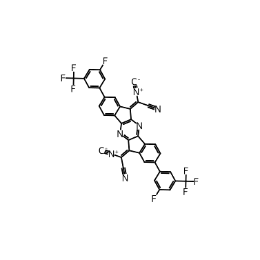 [C-]#[N+]/C(C#N)=C1/c2cc(-c3cc(F)cc(C(F)(F)F)c3)ccc2-c2nc3c(nc21)-c1ccc(-c2cc(F)cc(C(F)(F)F)c2)cc1/C3=C(/C#N)[N+]#[C-]